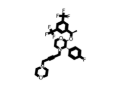 C[C@@H](O[C@H]1OCCN(CC#CCN2CCOCC2)[C@H]1c1ccc(F)cc1)c1cc(C(F)(F)F)cc(C(F)(F)F)c1